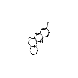 Fc1ccc2nc3c(nc2c1)OCC1CCCCN31